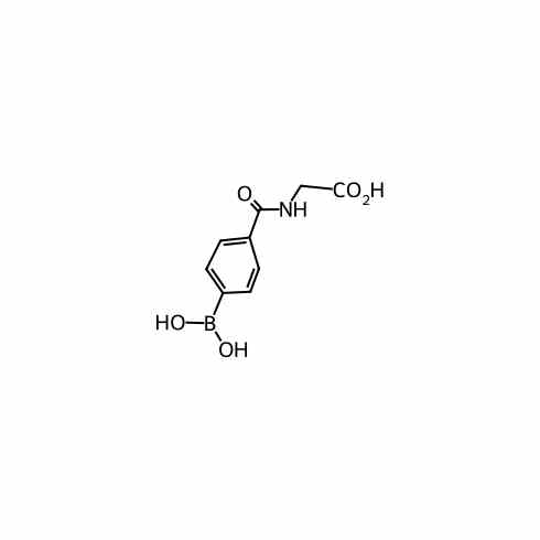 O=C(O)CNC(=O)c1ccc(B(O)O)cc1